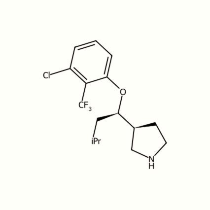 CC(C)C[C@@H](Oc1cccc(Cl)c1C(F)(F)F)[C@H]1CCNC1